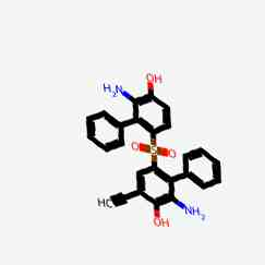 C#Cc1cc(S(=O)(=O)c2ccc(O)c(N)c2-c2ccccc2)c(-c2ccccc2)c(N)c1O